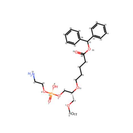 CCCCCCCCOC[C@H](CO[P@](=O)(O)OCCN)OCCCCC(=O)OC(c1ccccc1)c1ccccc1